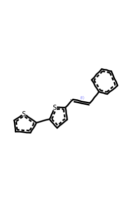 [C](=C\c1ccccc1)/c1ccc(-c2cccs2)s1